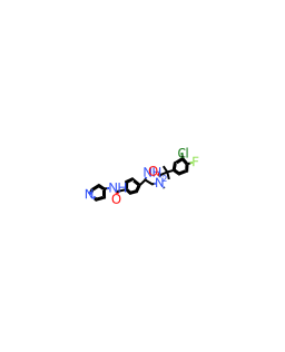 CN(CC(N)c1ccc(C(=O)Nc2ccncc2)cc1)C(=O)C(C)(C)c1ccc(F)c(Cl)c1